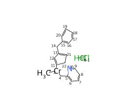 Cl.Cl.[CH3][Cr]([CH2]c1ccccn1)[C]1=CC(Cc2ccccc2)=CC1